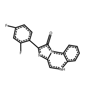 O=c1c(-c2ccc(F)cc2F)nc2c[nH]c3ccccc3n1-2